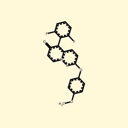 COc1ccc(Oc2ccc3c(-c4c(F)cccc4F)c(=O)ccn3n2)cc1